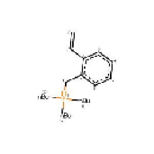 C=Cc1ccccc1C[PH](CCCC)(CCCC)CCCC